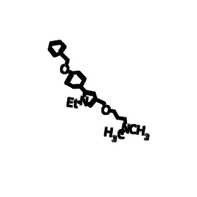 CCn1cc(COCCCN(C)C)cc1-c1ccc(OCc2ccccc2)cc1